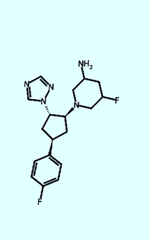 NC1CC(F)CN([C@H]2C[C@@H](c3ccc(F)cc3)C[C@@H]2n2cncn2)C1